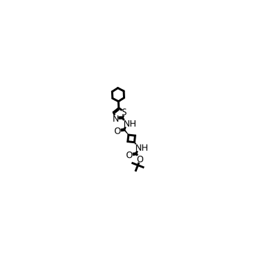 CC(C)(C)OC(=O)N[C@H]1C[C@@H](C(=O)Nc2ncc(C3CCCCC3)s2)C1